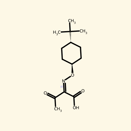 CC(=O)/C(=N/O[C@H]1CC[C@H](C(C)(C)C)CC1)C(=O)O